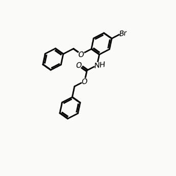 O=C(Nc1cc(Br)ccc1OCc1ccccc1)OCc1ccccc1